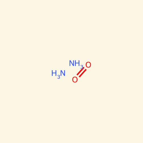 N.N.O=O